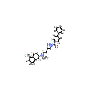 CCCN(CCCCNC(=O)c1ccc(-c2ccccc2)cc1)[C@@H]1CCc2c(Cl)cccc2C1